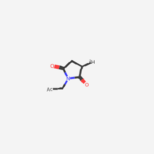 [2H]C1CC(=O)N(CC(C)=O)C1=O